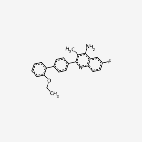 CCOc1ccccc1-c1ccc(-c2nc3ccc(F)cc3c(N)c2C)cc1